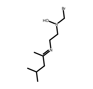 C/C(CC(C)C)=N\CCN(O)CBr